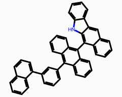 c1cc(-c2cccc3ccccc23)cc(-c2c3ccccc3c(-c3c4ccccc4cc4c3[nH]c3ccccc34)c3ccccc23)c1